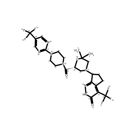 CC1(C)CN(C2CCc3c2n[nH]c(=O)c3C(F)(F)F)C[C@H](C(=O)N2CCN(c3ncc(C(F)(F)F)cn3)CC2)O1